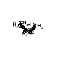 CC(C)c1ccc(NC(=O)N2CC[C@H](C)[C@@H]2C(=O)Nc2ccc(-c3ccc(C(=O)OC(C)(C)C)cc3)cc2)cc1